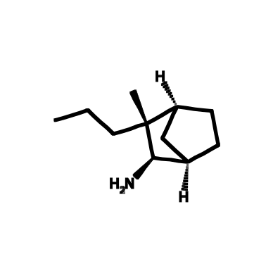 CCC[C@]1(C)[C@H]2CC[C@H](C2)[C@H]1N